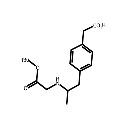 CC(Cc1ccc(CC(=O)O)cc1)NCC(=O)OC(C)(C)C